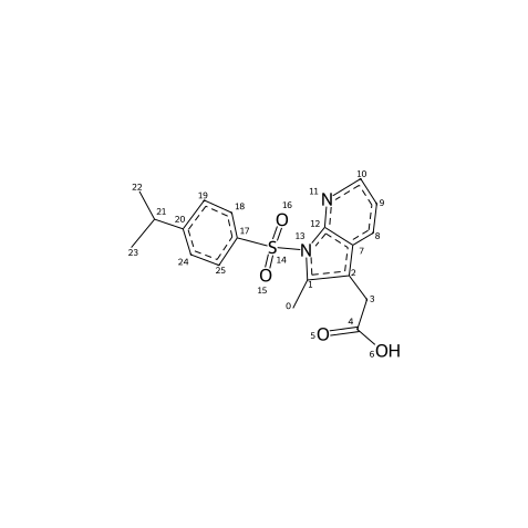 Cc1c(CC(=O)O)c2cccnc2n1S(=O)(=O)c1ccc(C(C)C)cc1